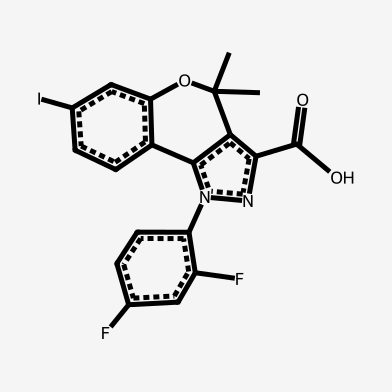 CC1(C)Oc2cc(I)ccc2-c2c1c(C(=O)O)nn2-c1ccc(F)cc1F